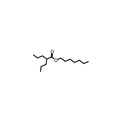 CCCCCCCOC(=O)C(CCC)CCC